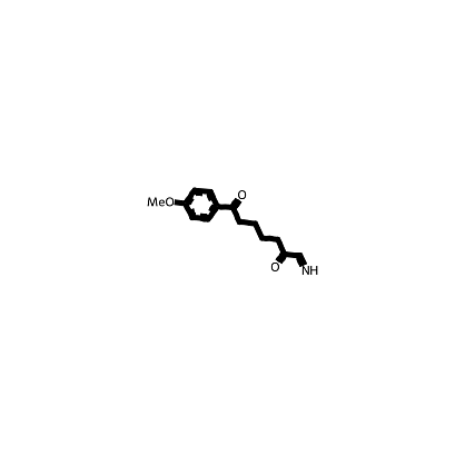 COc1ccc(C(=O)CCCCC(=O)C=N)cc1